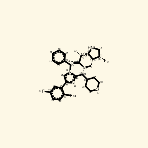 C[C@H](O)C(=O)N(C[C@@H]1CNC[C@@H]1F)[C@@H](c1nc(-c2cc(F)ccc2F)cn1Cc1ccccc1)C1CCOCC1